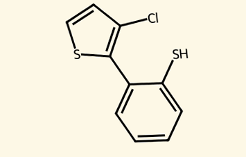 Sc1ccccc1-c1sccc1Cl